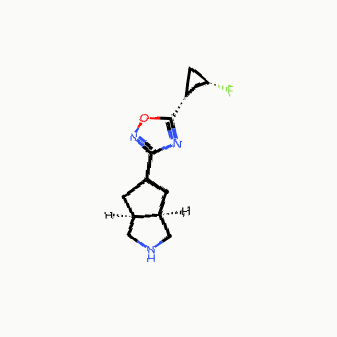 F[C@H]1C[C@H]1c1nc(C2C[C@H]3CNC[C@H]3C2)no1